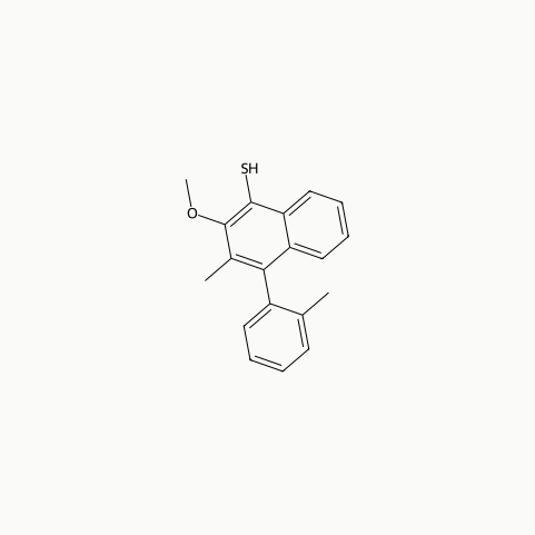 COc1c(C)c(-c2ccccc2C)c2ccccc2c1S